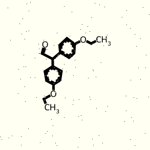 CCOc1ccc(C([C]=O)c2ccc(OCC)cc2)cc1